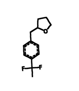 CC(F)(F)c1ccc(CC2CCCO2)cc1